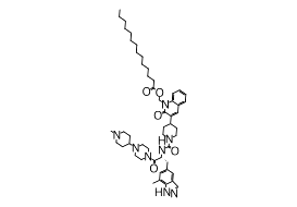 CCCCCCCCCCCCCC(=O)OCn1c(=O)c(C2CCN(C(=O)N[C@H](Cc3cc(C)c4[nH]ncc4c3)C(=O)N3CCN(C4CCN(C)CC4)CC3)CC2)cc2ccccc21